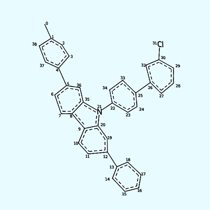 Cc1ccc(-c2ccc3c4ccc(-c5ccccc5)cc4n(-c4ccc(-c5cccc(Cl)c5)cc4)c3c2)cc1